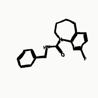 O=C(NCc1ccccc1)N1CCCCc2ccc(F)cc21